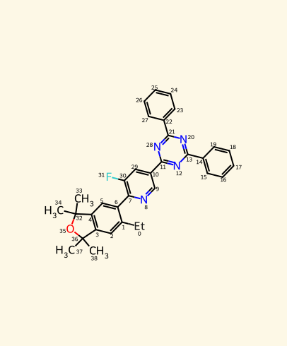 CCc1cc2c(cc1-c1ncc(-c3nc(-c4ccccc4)nc(-c4ccccc4)n3)cc1F)C(C)(C)OC2(C)C